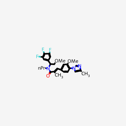 CCCN(C(=O)/C(C)=C/c1ccc(-n2cnc(C)c2)c(OC)c1)C(COC)c1cc(F)c(F)c(F)c1